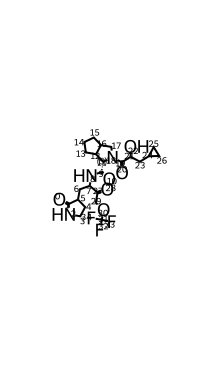 O=C1NCCC1CC(NC(=O)[C@@H]1C2CCCC2CN1C(=O)C(O)CC1CC1)C(=O)COC(F)(F)F